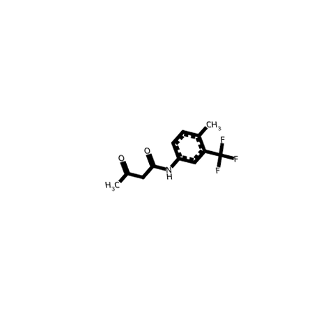 CC(=O)CC(=O)Nc1ccc(C)c(C(F)(F)F)c1